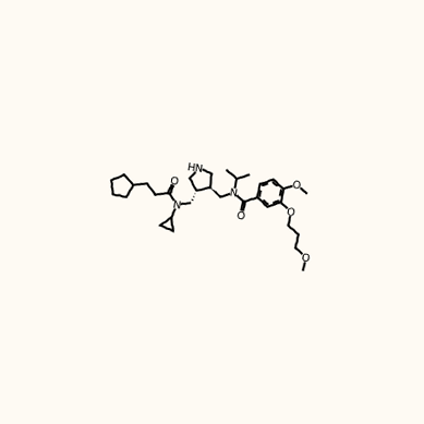 COCCCOc1cc(C(=O)N(C[C@@H]2CNC[C@H]2CN(C(=O)CCC2CCCC2)C2CC2)C(C)C)ccc1OC